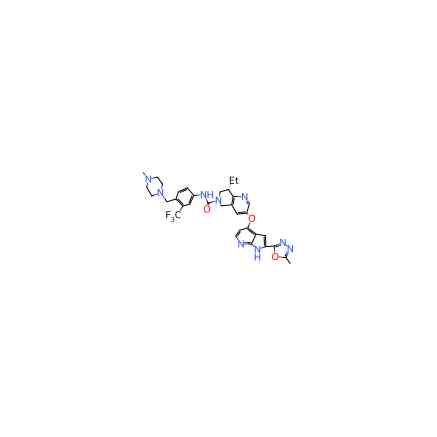 CC[C@H]1CN(C(=O)Nc2ccc(CN3CCN(C)CC3)c(C(F)(F)F)c2)Cc2cc(Oc3ccnc4[nH]c(-c5nnc(C)o5)cc34)cnc21